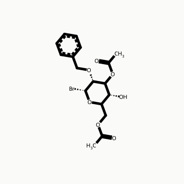 CC(=O)OCC1O[C@H](Br)[C@H](OCc2ccccc2)C(OC(C)=O)[C@@H]1O